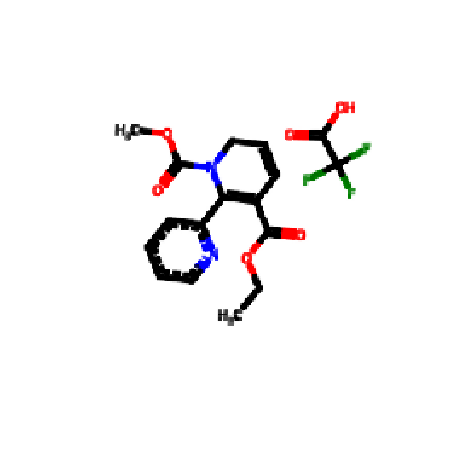 CCOC(=O)C1=C(c2ccccn2)N(C(=O)OC)CC=C1.O=C(O)C(F)(F)F